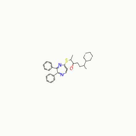 CC(SC1=C=CN=C(c2ccccc2)C(c2ccccc2)=N1)C(=O)CCC(C)C1CCCCC1